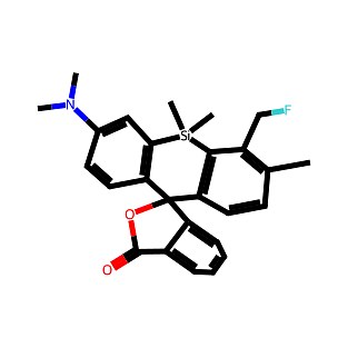 Cc1ccc2c(c1CF)[Si](C)(C)c1cc(N(C)C)ccc1C21OC(=O)c2ccccc21